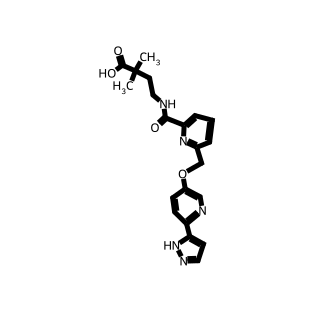 CC(C)(CCNC(=O)c1cccc(COc2ccc(-c3ccn[nH]3)nc2)n1)C(=O)O